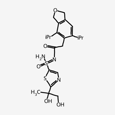 CC(C)c1cc2c(c(C(C)C)c1CC(=O)N=S(N)(=O)c1cnc(C(C)(O)CO)s1)COC2